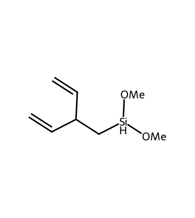 C=CC(C=C)C[SiH](OC)OC